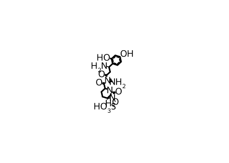 N[C@H](CC(=O)N(N)C(=O)C1CC[C@@H]2CN1C(=O)N2OS(=O)(=O)O)c1ccc(O)cc1O